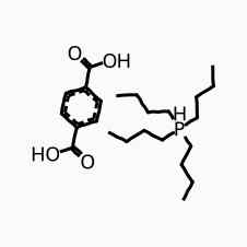 CCCC[PH](CCCC)(CCCC)CCCC.O=C(O)c1ccc(C(=O)O)cc1